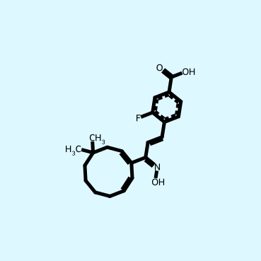 CC1(C)C/C=C(C(/C=C/c2ccc(C(=O)O)cc2F)=N\O)\C=C/CCCC1